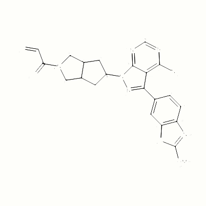 C=CC(=O)N1CC2CC(n3nc(-c4ccc5nc(OC)sc5c4)c4c(N)ncnc43)CC2C1